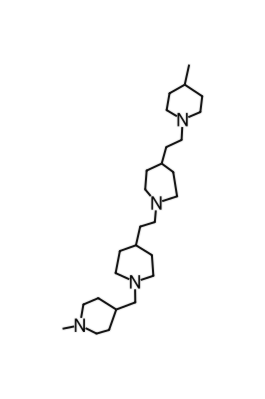 CC1CCN(CCC2CCN(CCC3CCN(CC4CCN(C)CC4)CC3)CC2)CC1